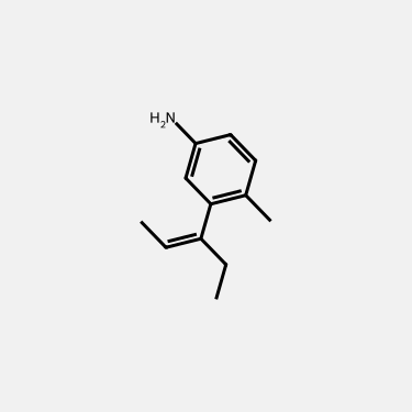 C/C=C(/CC)c1cc(N)ccc1C